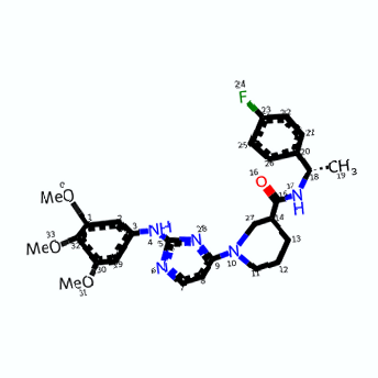 COc1cc(Nc2nccc(N3CCCC(C(=O)N[C@@H](C)c4ccc(F)cc4)C3)n2)cc(OC)c1OC